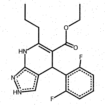 CCCC1=C(C(=O)OCC)C(c2c(F)cccc2F)c2c[nH]nc2N1